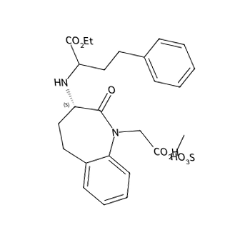 CCOC(=O)C(CCc1ccccc1)N[C@H]1CCc2ccccc2N(CC(=O)O)C1=O.CS(=O)(=O)O